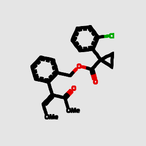 COC=C(C(=O)OC)c1ccccc1COC(=O)C1(c2ccccc2Cl)CC1